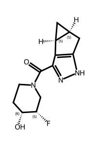 O=C(c1n[nH]c2c1[C@H]1C[C@H]1C2)N1CC[C@@H](O)[C@@H](F)C1